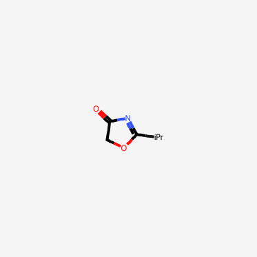 CC(C)C1=NC(=O)CO1